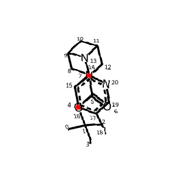 CC(C)(C)OC(=O)N1CC2CC(C1)N2c1ccc(I)cn1